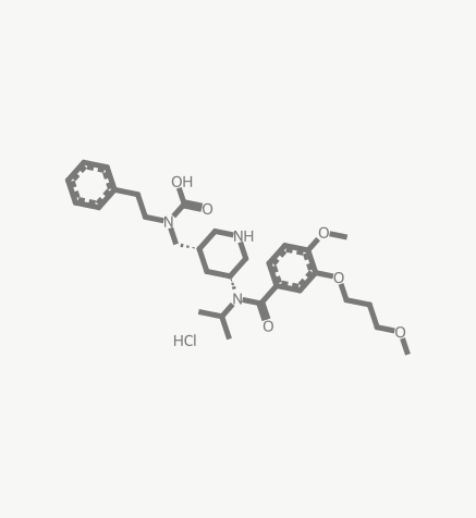 COCCCOc1cc(C(=O)N(C(C)C)[C@H]2CNC[C@@H](CN(CCc3ccccc3)C(=O)O)C2)ccc1OC.Cl